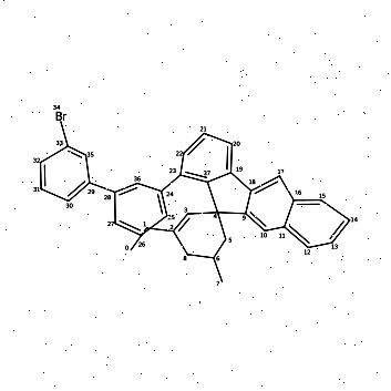 CCC1=CC2(CC(C)C1)c1cc3ccccc3cc1-c1cccc(-c3cccc(-c4cccc(Br)c4)c3)c12